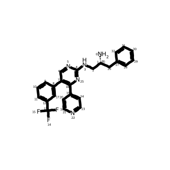 N[C@@H](CNc1ncc(-c2cccc(C(F)(F)F)c2)c(-c2ccncc2)n1)Cc1ccccc1